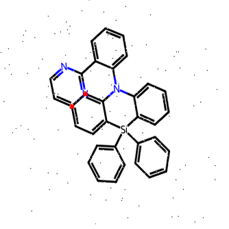 c1ccc([Si]2(c3ccccc3)c3ccccc3N(c3ccccc3-c3ncccn3)c3ccccc32)cc1